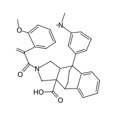 C=C(C(=O)N1CC2C3(c4cccc(N(C)C)c4)CCC(c4ccccc43)C2(C(=O)O)C1)c1ccccc1OC